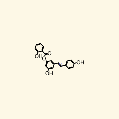 O=C(Oc1cc(O)cc(/C=C/c2ccc(O)cc2)c1)c1ccccc1O